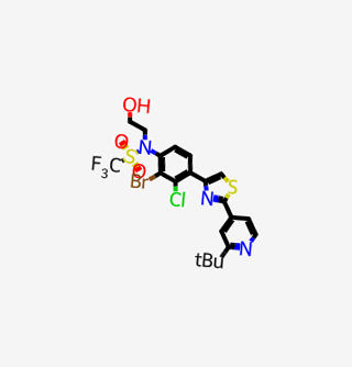 CC(C)(C)c1cc(-c2nc(-c3ccc(N(CCO)S(=O)(=O)C(F)(F)F)c(Br)c3Cl)cs2)ccn1